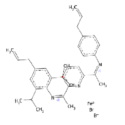 C=CCc1ccc(/N=C(/C)c2cccc(/C(C)=N\c3c(C(C)C)cc(CC=C)cc3C(C)C)n2)cc1.[Br-].[Br-].[Fe+2]